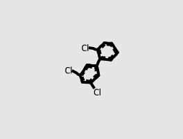 Clc1cc(Cl)cc(-c2ccccc2Cl)c1